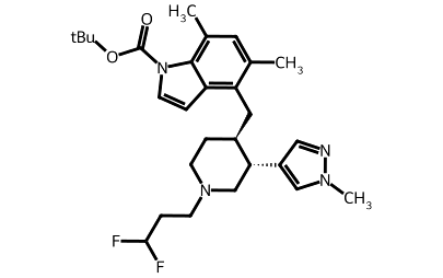 Cc1cc(C)c2c(ccn2C(=O)OC(C)(C)C)c1C[C@@H]1CCN(CCC(F)F)C[C@H]1c1cnn(C)c1